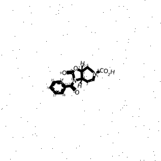 O=C(O)N1CC[C@H]2[C@@H](C1)OC(=O)N2C(=O)c1ccccc1